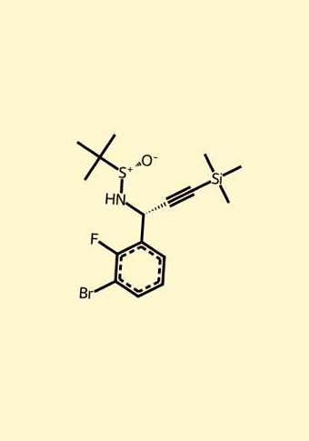 CC(C)(C)[S@+]([O-])N[C@H](C#C[Si](C)(C)C)c1cccc(Br)c1F